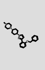 CN1CCN([C@H]2CC[C@H](n3ccc(-c4ccccc4OCc4ccccc4)n3)CC2)CC1